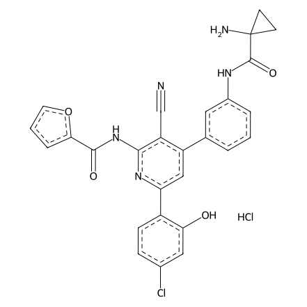 Cl.N#Cc1c(-c2cccc(NC(=O)C3(N)CC3)c2)cc(-c2ccc(Cl)cc2O)nc1NC(=O)c1ccco1